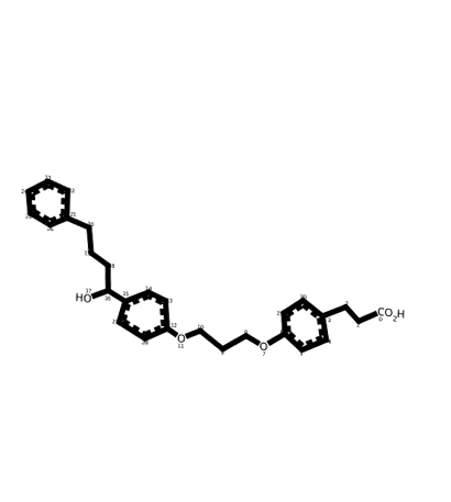 O=C(O)CCc1ccc(OCCCOc2ccc(C(O)CCCc3ccccc3)cc2)cc1